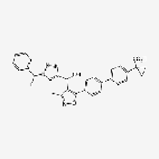 Cc1noc(-c2ccc(-c3ccc(C4(C(=O)O)CC4)cc3)cc2)c1C(O)c1cn(C(I)c2ccccc2)nn1